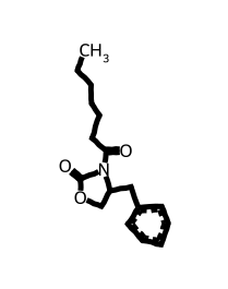 CCCCCCC(=O)N1C(=O)OCC1Cc1ccccc1